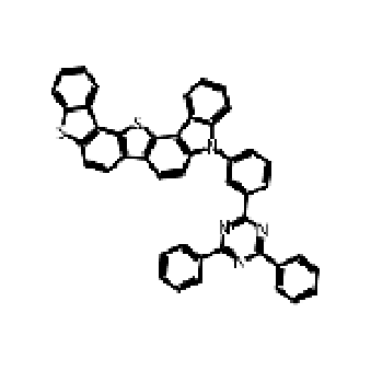 c1ccc(-c2nc(-c3ccccc3)nc(-c3cccc(-n4c5ccccc5c5c6sc7c(ccc8sc9ccccc9c87)c6ccc54)c3)n2)cc1